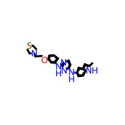 Cc1cc2cc(Nc3ccnc(Nc4cccc(OCCN5CCSCC5)c4)n3)ccc2[nH]1